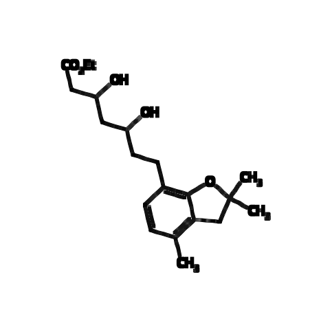 CCOC(=O)CC(O)CC(O)CCc1ccc(C)c2c1OC(C)(C)C2